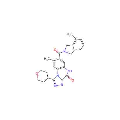 Cc1cc2c(cc1C(=O)N1Cc3cccc(C)c3C1)[nH]c(=O)c1nnc(C3CCOCC3)n12